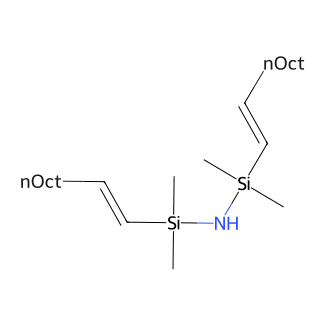 CCCCCCCCC=C[Si](C)(C)N[Si](C)(C)C=CCCCCCCCC